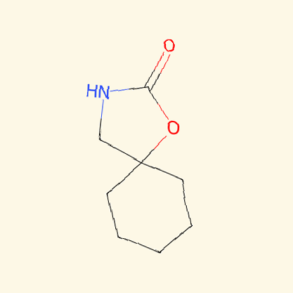 O=C1NCC2(CCCCC2)O1